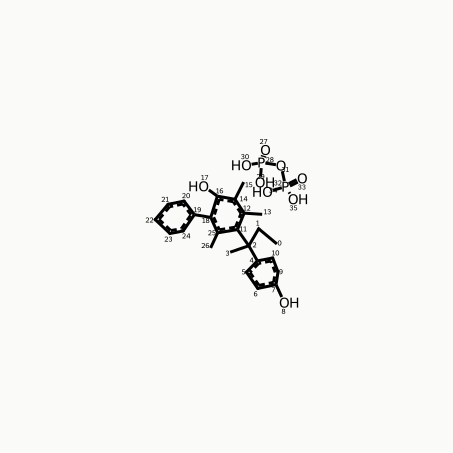 CCC(C)(c1ccc(O)cc1)c1c(C)c(C)c(O)c(-c2ccccc2)c1C.O=P(O)(O)OP(=O)(O)O